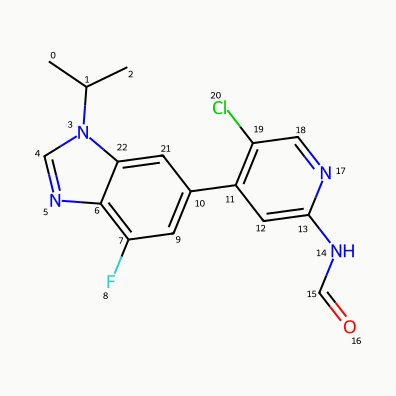 CC(C)n1cnc2c(F)cc(-c3cc(NC=O)ncc3Cl)cc21